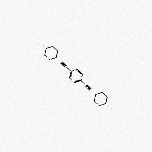 CCCC[C@H]1CC[C@H](C#Cc2ccc(C#C[C@H]3CC[C@H](CCCC)CC3)cc2)CC1